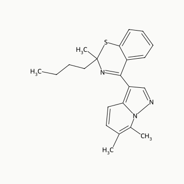 CCCCC1(C)N=C(c2cnn3c(C)c(C)ccc23)c2ccccc2S1